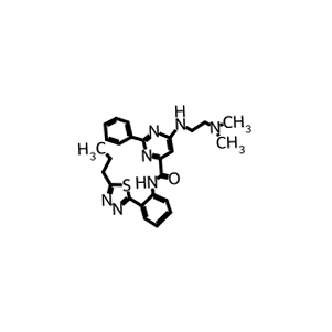 CCCc1nnc(-c2ccccc2NC(=O)c2cc(NCCN(C)C)nc(-c3ccccc3)n2)s1